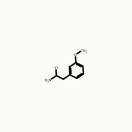 COc1cccc(CC(N)Cl)c1